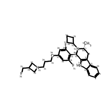 C[C@@H]1Cc2c([nH]c3ccccc23)[C@@H](c2c(F)cc(OCCCN3CC(CF)C3)cc2F)N1C1CCC1